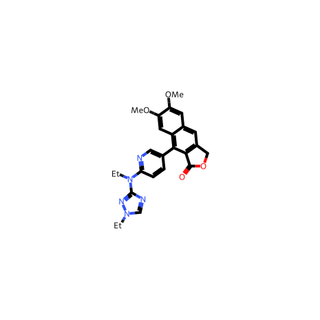 CCN(c1ccc(-c2c3c(cc4cc(OC)c(OC)cc24)COC3=O)cn1)c1ncn(CC)n1